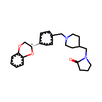 O=C1CCCN1CC1CCN(Cc2ccc([C@H]3COc4ccccc4O3)cc2)CC1